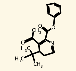 CC(=O)C1=C(C(=O)Oc2ccccc2)N=CCC1C(C)(C)C